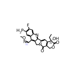 CC[C@@]1(O)C(=O)OCc2c1cc1n(c2=O)Cc2c-1nc1cc(F)c(P)cc1c2/C=N\OC